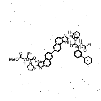 CCC(=O)N[C@@H](C(=O)N1[C@@H]2CC[C@@H](C2)[C@H]1c1nc2ccc3cc(-c4ccc5c(ccc6nc([C@@H]7CCCN7C(=O)[C@@H](NC(=O)OC)C(C)C)[nH]c65)c4)ccc3c2[nH]1)c1cccc(C2CCCCC2)c1